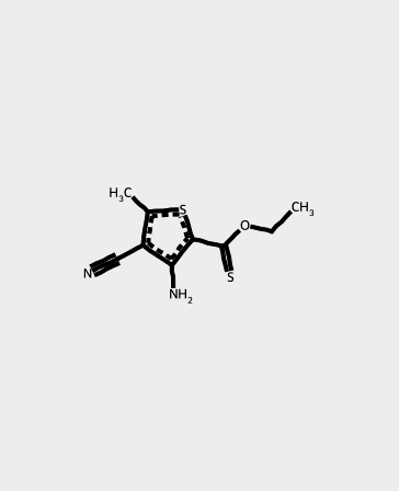 CCOC(=S)c1sc(C)c(C#N)c1N